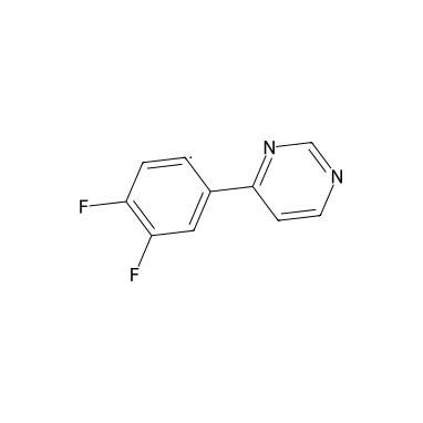 Fc1c[c]c(-c2ccncn2)cc1F